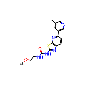 CCOCCNC(=O)Nc1nc2ccc(-c3cncc(C)c3)nc2s1